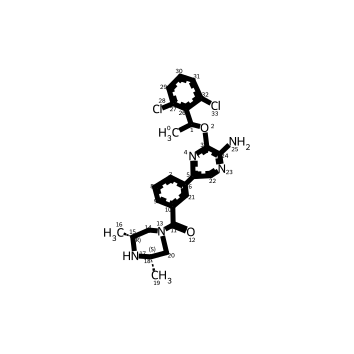 CC(Oc1nc(-c2cccc(C(=O)N3C[C@@H](C)N[C@@H](C)C3)c2)cnc1N)c1c(Cl)cccc1Cl